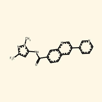 Cn1nc(C(F)(F)F)cc1NC(=O)c1ccc2cc(-c3cccnc3)cnc2c1